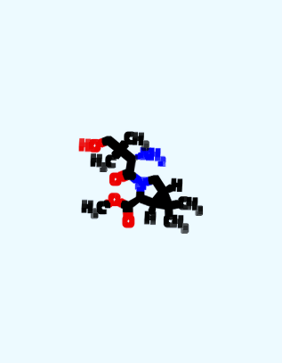 COC(=O)[C@@H]1[C@@H]2[C@H](CN1C(=O)[C@@H](N)C(C)(C)CO)C2(C)C